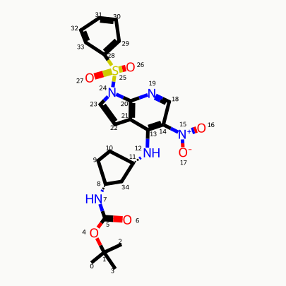 CC(C)(C)OC(=O)N[C@@H]1CC[C@H](Nc2c([N+](=O)[O-])cnc3c2ccn3S(=O)(=O)c2ccccc2)C1